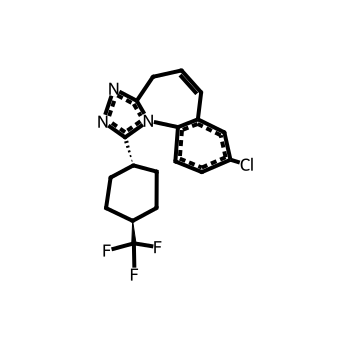 FC(F)(F)[C@H]1CC[C@H](c2nnc3n2-c2ccc(Cl)cc2C=CC3)CC1